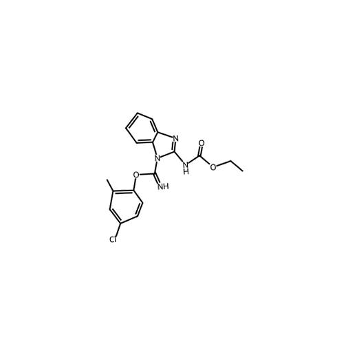 CCOC(=O)Nc1nc2ccccc2n1C(=N)Oc1ccc(Cl)cc1C